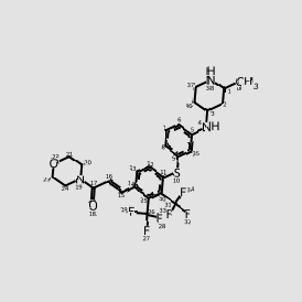 CC1CC(Nc2cccc(Sc3ccc(C=CC(=O)N4CCOCC4)c(C(F)(F)F)c3C(F)(F)F)c2)CCN1